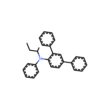 CCC(C)N(c1ccccc1)c1ccc(-c2ccccc2)cc1-c1ccccc1